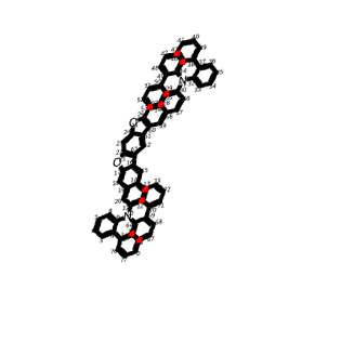 c1ccc(-c2ccccc2N(c2ccc3cc4c(cc3c2)oc2cc3oc5cc6cc(N(c7ccccc7-c7ccccc7)c7ccccc7-c7ccccc7)ccc6cc5c3cc24)c2ccccc2-c2ccccc2)cc1